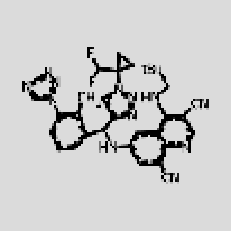 Cc1c([C@H](Nc2cc(C#N)c3ncc(C#N)c(NCC(C)(C)C)c3c2)c2cn(C3(C(F)F)CC3)nn2)cccc1-n1cnnn1